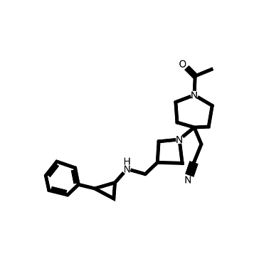 CC(=O)N1CCC(CC#N)(N2CC(CNC3CC3c3ccccc3)C2)CC1